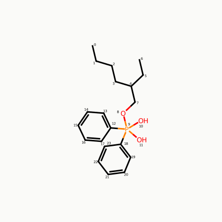 CCCCC(CC)COP(O)(O)(c1ccccc1)c1ccccc1